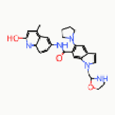 Cc1cc(O)nc2ccc(NC(=O)c3cc4c(ccn4CC4NCCO4)cc3N3CCCC3)cc12